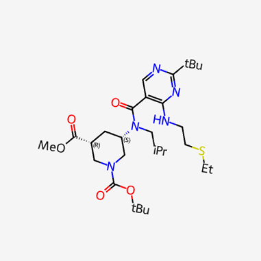 CCSCCNc1nc(C(C)(C)C)ncc1C(=O)N(CC(C)C)[C@H]1C[C@@H](C(=O)OC)CN(C(=O)OC(C)(C)C)C1